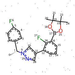 C[C@H](c1ccc(F)cc1)n1cc(-c2cccc(B3OC(C)(C)C(C)(C)O3)c2F)cn1